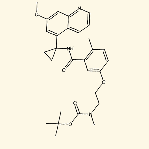 COc1cc(C2(NC(=O)c3cc(OCCN(C)C(=O)OC(C)(C)C)ccc3C)CC2)c2cccnc2c1